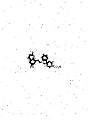 Cc1cc(CCOCC2(c3ccc(F)cc3)CCN(C(=O)O)CC2)c2nc(Cl)ccc2c1